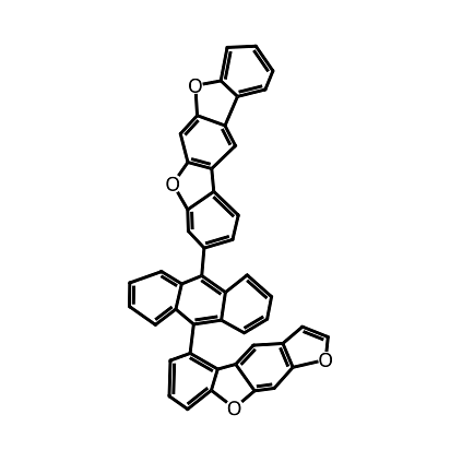 c1ccc2c(c1)oc1cc3oc4cc(-c5c6ccccc6c(-c6cccc7oc8cc9occc9cc8c67)c6ccccc56)ccc4c3cc12